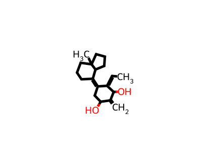 C=C1C(O)CC(=C2CCCC3(C)CCCC23)C(=CC)C1O